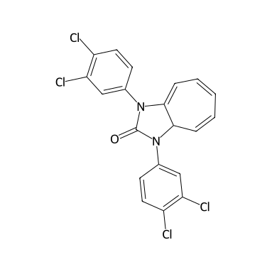 O=C1N(c2ccc(Cl)c(Cl)c2)C2=CC=CC=CC2N1c1ccc(Cl)c(Cl)c1